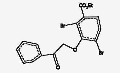 CCOC(=O)c1ccc(Br)c(OCC(=O)c2ccccc2)c1Br